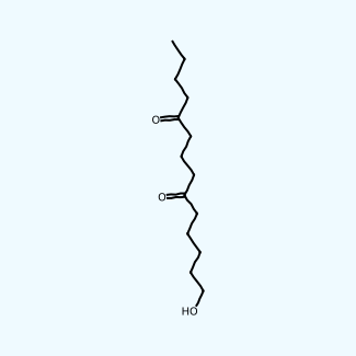 CCCCC(=O)CCCC(=O)CCCCCO